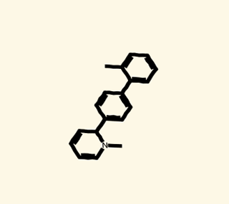 Cc1ccccc1-c1ccc(C2C=CC=CN2C)cc1